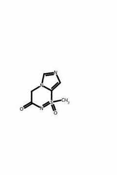 CS1(=O)=NC(=O)Cn2cncc21